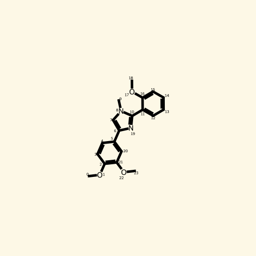 COc1ccc(-c2cn(C)c(-c3ccccc3OC)n2)cc1OC